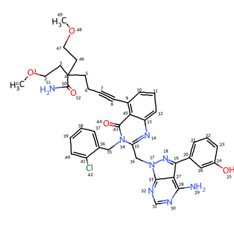 COCCC(CCC#Cc1cccc2nc(Cn3nc(-c4cccc(O)c4)c4c(N)ncnc43)n(Cc3ccccc3Cl)c(=O)c12)(CCOC)C(N)=O